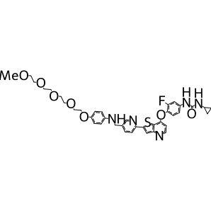 COCCOCCOCCOCCOc1ccc(NCc2ccc(-c3cc4nccc(Oc5ccc(NC(=O)NC6CC6)cc5F)c4s3)nc2)cc1